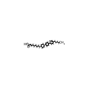 CCCCCc1ccc(-c2ccc([C@H]3CC[C@H](CCCCCC/C=C/C(=O)O)CC3)cc2)nc1